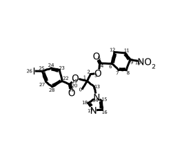 CC(COC(=O)c1ccc([N+](=O)[O-])cc1)(Cn1ccnc1)OC(=O)c1ccc(I)cc1